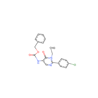 O=CCn1c(-c2ccc(Cl)cc2)ncc(NC(=O)OCc2ccccc2)c1=O